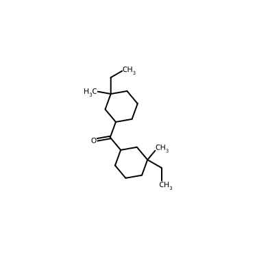 CCC1(C)CCCC(C(=O)C2CCCC(C)(CC)C2)C1